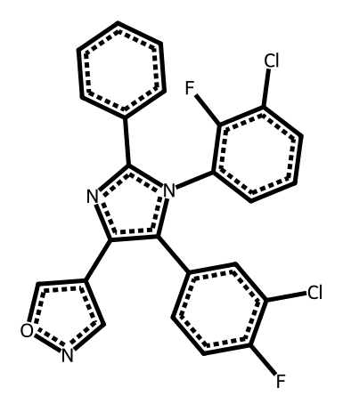 Fc1ccc(-c2c(-c3cnoc3)nc(-c3ccccc3)n2-c2cccc(Cl)c2F)cc1Cl